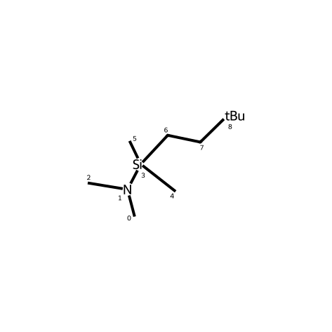 CN(C)[Si](C)(C)CCC(C)(C)C